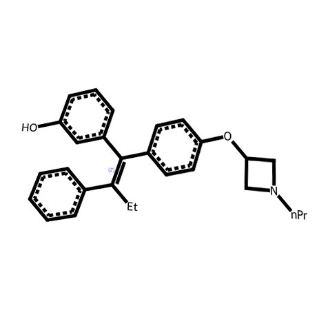 CCCN1CC(Oc2ccc(/C(=C(\CC)c3ccccc3)c3cccc(O)c3)cc2)C1